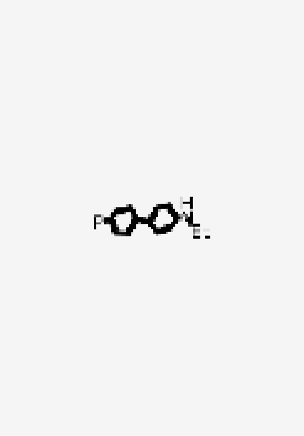 CCNc1ccc(-c2ccc(F)cc2)cc1